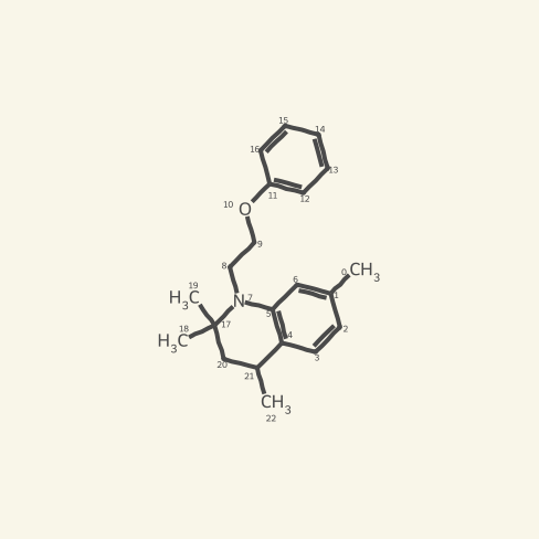 Cc1ccc2c(c1)N(CCOc1ccccc1)C(C)(C)CC2C